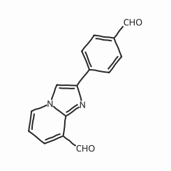 O=Cc1ccc(-c2cn3cccc(C=O)c3n2)cc1